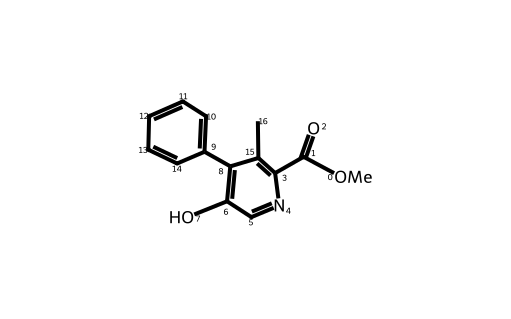 COC(=O)c1ncc(O)c(-c2ccccc2)c1C